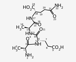 C[C@H](N)C(=O)N[C@@H](CCC(=O)O)C(=O)N[C@@H](C)C(=O)N[C@@H](CCC(N)=O)C(=O)O